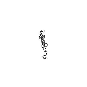 CCSc1cnc(N2CCN(C(=O)OC3CC4(C3)CN(Cc3ccccc3)C4)CC2)nc1